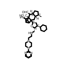 CC(C)C1=CC2CC3(C=O)[C@@H]4CC[C@@H](C)[C@H]4CC2([C@H]2C[C@@H](C4CCCCC4)[C@H](CNCCN4CCN(c5ncccn5)CC4)O2)[C@]13C(=O)O